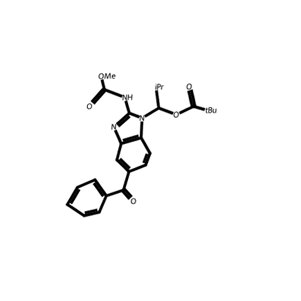 COC(=O)Nc1nc2cc(C(=O)c3ccccc3)ccc2n1C(OC(=O)C(C)(C)C)C(C)C